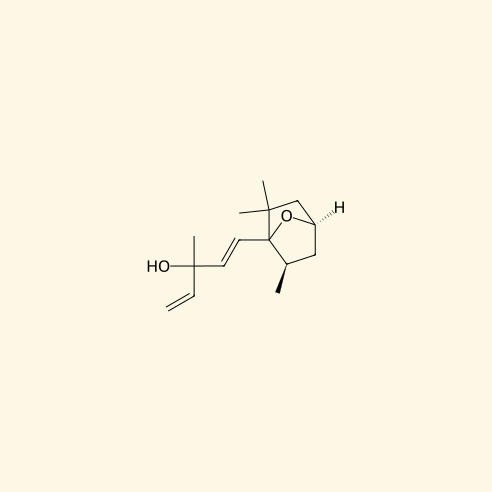 C=CC(C)(O)/C=C/C12O[C@H](C[C@H]1C)CC2(C)C